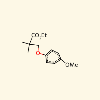 CCOC(=O)C(C)(C)COc1ccc(OC)cc1